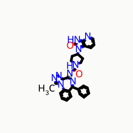 Cc1nnc2n1-c1ccccc1C(c1ccccc1)=N[C@H]2NC(=O)N1CCC(n2c(=O)[nH]c3ncccc32)CC1